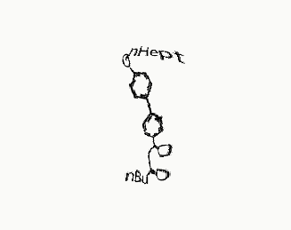 CCCCCCCOc1ccc(-c2ccc(C(=O)CC(=O)CCCC)cc2)cc1